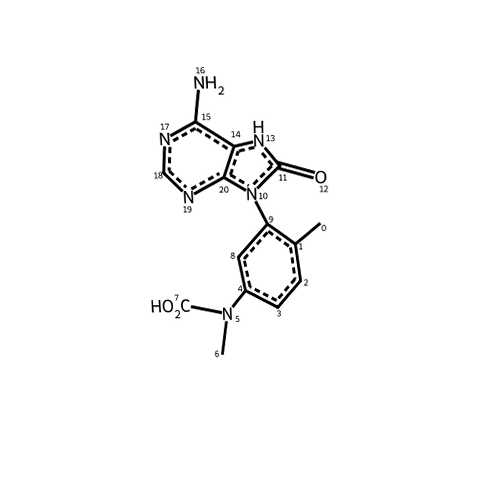 Cc1ccc(N(C)C(=O)O)cc1-n1c(=O)[nH]c2c(N)ncnc21